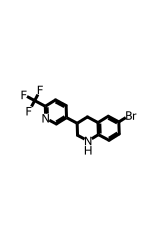 FC(F)(F)c1ccc(C2CNc3ccc(Br)cc3C2)cn1